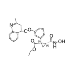 CCOC(=O)[C@]1(c2cccc(OCC3CC(C)=Nc4ccccc43)c2)C[C@H]1C(=O)NO